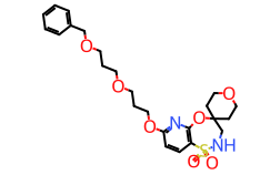 O=S1(=O)NCC2(CCOCC2)Oc2nc(OCCCOCCCOCc3ccccc3)ccc21